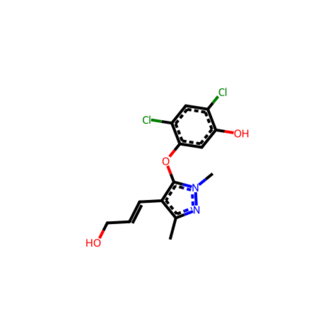 Cc1nn(C)c(Oc2cc(O)c(Cl)cc2Cl)c1C=CCO